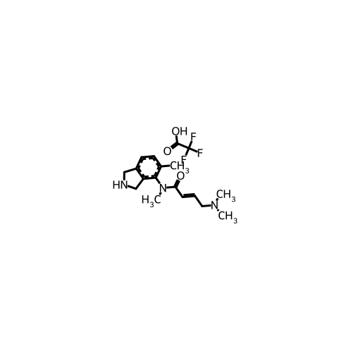 Cc1ccc2c(c1N(C)C(=O)/C=C/CN(C)C)CNC2.O=C(O)C(F)(F)F